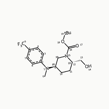 CN(c1ccc(C(F)(F)F)cc1)[C@@H]1CC[C@@H](CO)N(C(=O)OC(C)(C)C)C1